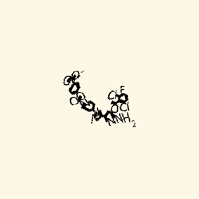 CC(Oc1cc(-c2cnn(C3CCN(C(=O)Oc4ccc([N+](=O)[O-])cc4)CC3)c2)cnc1N)c1c(Cl)ccc(F)c1Cl